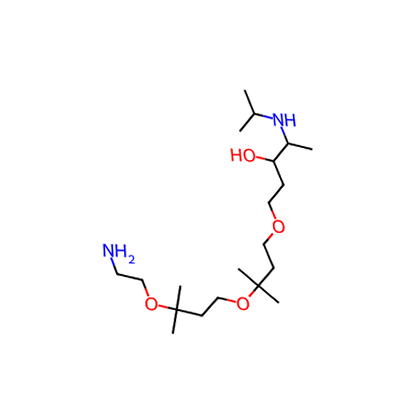 CC(C)NC(C)C(O)CCOCCC(C)(C)OCCC(C)(C)OCCN